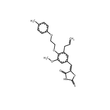 C=CCc1cc(/C=C2/SC(=S)NC2=O)cc(OC)c1OCCOc1ccc(C)cc1